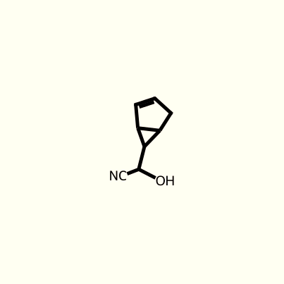 N#CC(O)C1C2C=CCC21